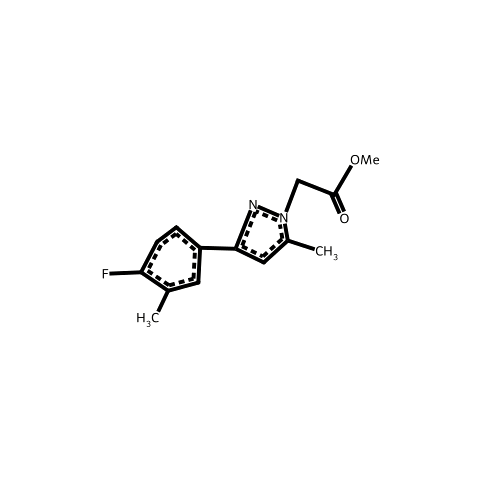 COC(=O)Cn1nc(-c2ccc(F)c(C)c2)cc1C